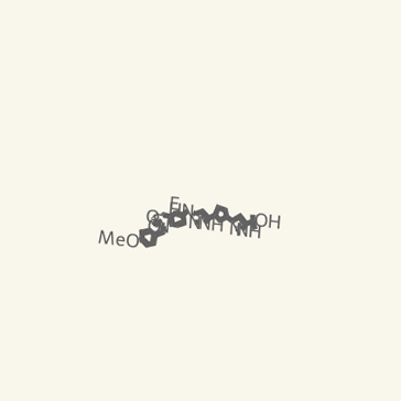 COc1ccc(CN2c3ccc(Nc4cc(C5CCC(c6cc(C(C)(C)O)[nH]n6)C5)[nH]n4)c(F)c3CS2(=O)=O)cc1